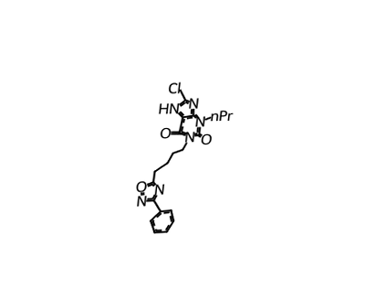 CCCn1c(=O)n(CCCCc2nc(-c3ccccc3)no2)c(=O)c2[nH]c(Cl)nc21